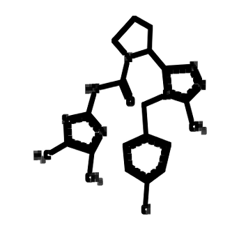 Cc1nc(NC(=O)N2CCCC2c2nnc(C)n2Cc2ccc(Cl)cc2)sc1C